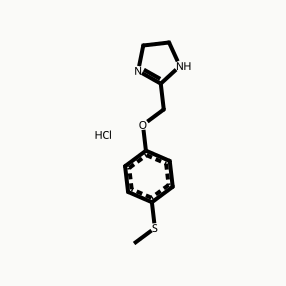 CSc1ccc(OCC2=NCCN2)cc1.Cl